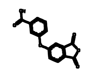 O=C(O)c1cccc(Oc2ccc3c(c2)C(=O)OC3=O)c1